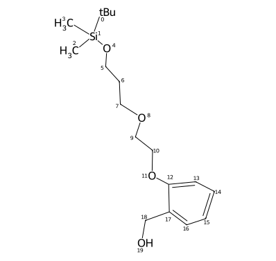 CC(C)(C)[Si](C)(C)OCCCOCCOc1ccccc1CO